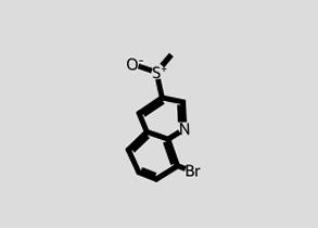 C[S+]([O-])c1cnc2c(Br)cccc2c1